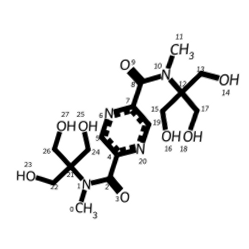 CN(C(=O)c1cnc(C(=O)N(C)C(CO)(CO)CO)cn1)C(CO)(CO)CO